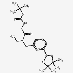 CCN(Cc1cccc(B2OC(C)(C)C(C)(C)O2)c1)C(=O)CNC(=O)OC(C)(C)C